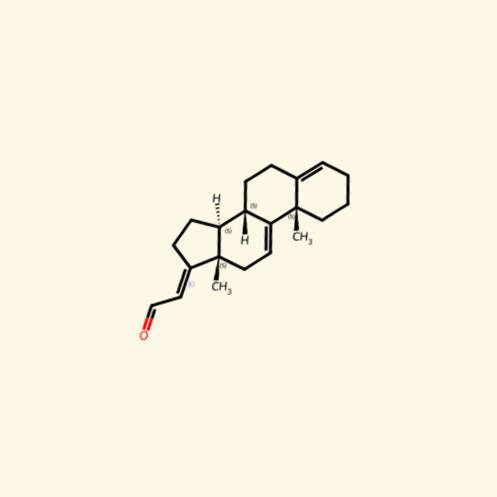 C[C@]12CCCC=C1CC[C@@H]1C2=CC[C@]2(C)/C(=C/C=O)CC[C@@H]12